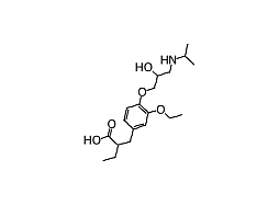 CCOc1cc(CC(CC)C(=O)O)ccc1OCC(O)CNC(C)C